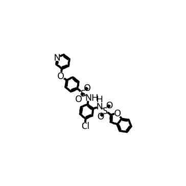 O=S(=O)(Nc1ccc(Cl)cc1NS(=O)(=O)c1cc2ccccc2o1)c1ccc(Oc2cccnc2)cc1